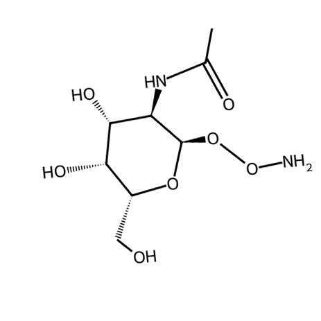 CC(=O)N[C@H]1[C@@H](OON)O[C@H](CO)[C@H](O)[C@@H]1O